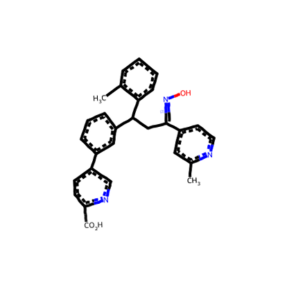 Cc1cc(/C(CC(c2cccc(-c3ccc(C(=O)O)nc3)c2)c2ccccc2C)=N\O)ccn1